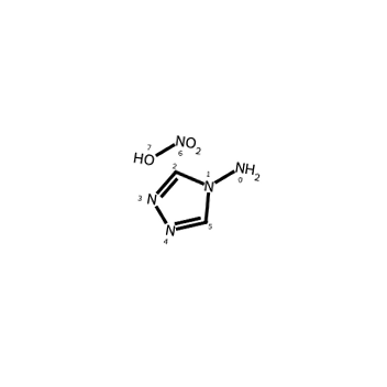 Nn1cnnc1.O=[N+]([O-])O